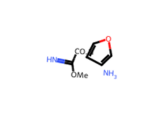 COC(=N)C(=O)O.N.c1ccoc1